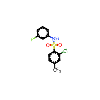 O=S(=O)(Nc1cccc(F)c1)c1ccc(C(F)(F)F)cc1Cl